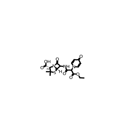 CCOC(=O)C(C(=O)NC1C(=O)N2[C@@H]1SC(C)(C)[C@@H]2C(=O)O)n1ccc(=O)cc1